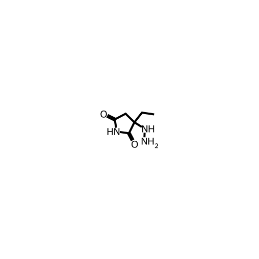 CCC1(NN)CC(=O)NC1=O